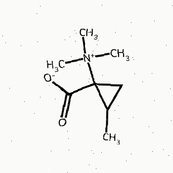 CC1CC1(C(=O)[O-])[N+](C)(C)C